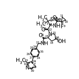 CSC(C)(C)[C@H](NC(=O)C1(F)CC1)C(=O)N1C[C@@H](O)CC1C(=O)NCc1ccc(-c2scnc2C)cc1